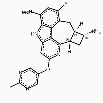 CNc1cc(F)c2c3c1[nH]c1nc(Oc4cnc(C)nc4)nc(c13)[C@H]1C[C@@H](N)[C@@H]1C2